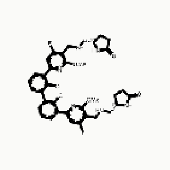 COc1nc(-c2cccc(-c3cccc(-c4cc(F)c(CNC[C@@H]5CCC(=O)N5)c(OC)n4)c3Cl)c2Cl)cc(F)c1CNC[C@@H]1CCC(=O)N1